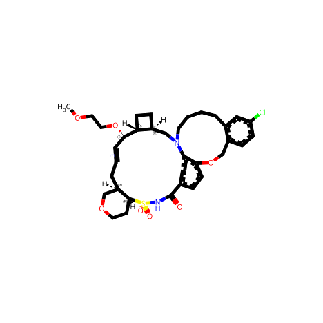 COCCO[C@H]1/C=C/C[C@@H]2COCC[C@H]2S(=O)(=O)NC(=O)c2ccc3c(c2)N(CCCCc2cc(Cl)ccc2CO3)C[C@@H]2CC[C@H]21